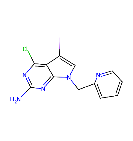 Nc1nc(Cl)c2c(I)cn(Cc3ccccn3)c2n1